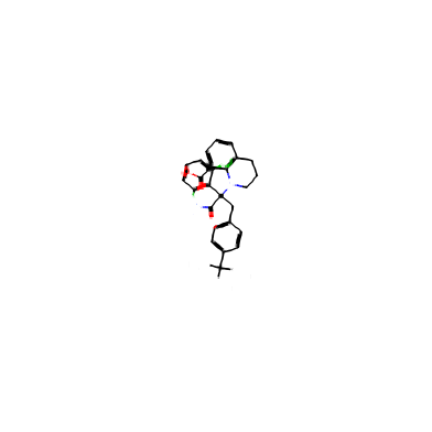 CC(C)(C)c1ccc(CC(C(N)=O)(c2c(Cl)cccc2Cl)N2CCCc3cccc(C(=O)O)c32)cc1